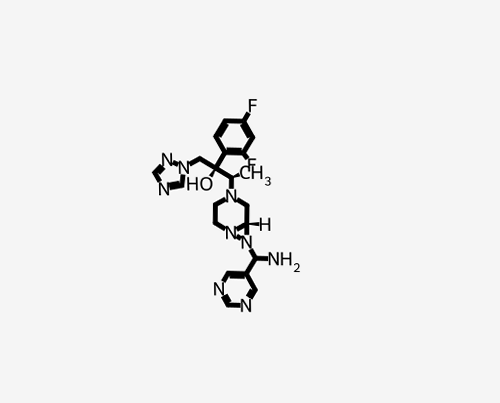 C[C@@H](N1CCN2[C@H](C1)N2C(N)c1cncnc1)[C@](O)(Cn1cncn1)c1ccc(F)cc1F